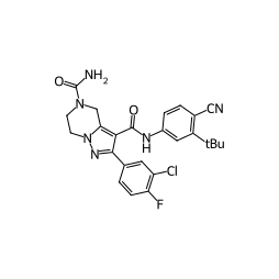 CC(C)(C)c1cc(NC(=O)c2c(-c3ccc(F)c(Cl)c3)nn3c2CN(C(N)=O)CC3)ccc1C#N